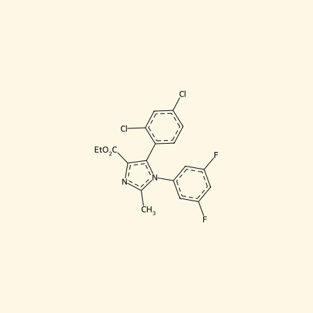 CCOC(=O)c1nc(C)n(-c2cc(F)cc(F)c2)c1-c1ccc(Cl)cc1Cl